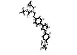 CC(C)(C)OC(=O)N(CCc1ccc(-c2ncn(-c3ccc(OC(F)(F)F)cc3)n2)cc1)CC1CC1